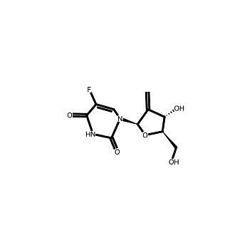 C=C1[C@H](n2cc(F)c(=O)[nH]c2=O)O[C@H](CO)[C@H]1O